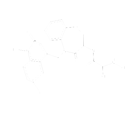 CNC(C)C(=O)NC1COc2ccccc2N(Cc2cc(=O)n(C)c3ccc(F)cc23)C1=O